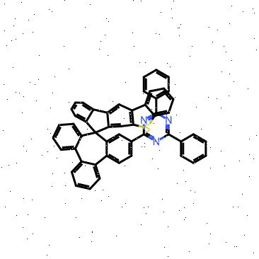 c1ccc(-c2nc(-c3ccccc3)nc(-c3ccc4c(c3)C3(c5ccccc5-c5ccccc5-4)c4ccccc4-c4cc5c(cc43)sc3ccccc35)n2)cc1